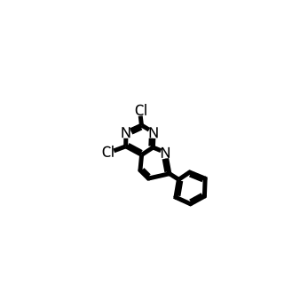 Clc1nc(Cl)c2ccc(-c3ccccc3)nc2n1